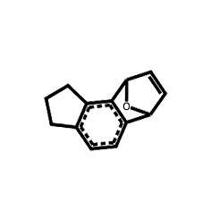 C1=CC2OC1c1ccc3c(c12)CCC3